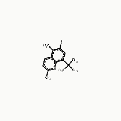 Cc1ccc2c(C)c(I)cc(C(C)(C)C)c2n1